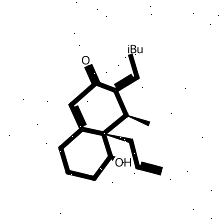 C=CC[C@@]12C(=CC(=O)C(=CC(C)CC)[C@H]1C)CCC[C@@H]2O